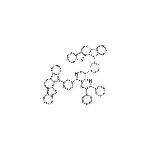 c1ccc(-c2nc3c(-c4cccc(-n5c6ccccc6c6ccc7c8ccccc8sc7c65)c4)cnc(-c4cccc(-n5c6ccccc6c6ccc7c8ccccc8sc7c65)c4)c3nc2-c2ccccc2)cc1